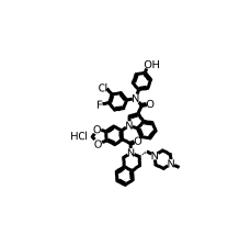 CN1CCN(C[C@@H]2Cc3ccccc3CN2C(=O)c2cc3c(cc2-n2cc(C(=O)N(c4ccc(O)cc4)c4ccc(F)c(Cl)c4)c4ccccc42)OCO3)CC1.Cl